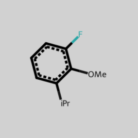 [CH2]C(C)c1cccc(F)c1OC